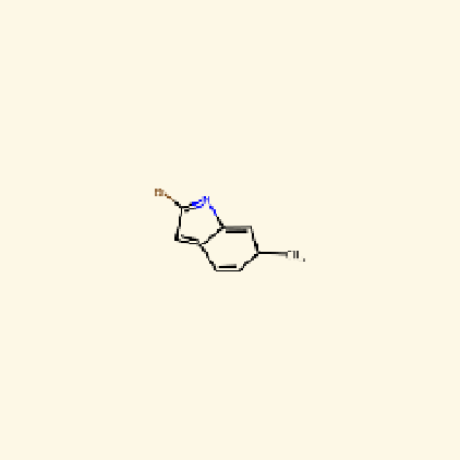 CC1C=CC2=CC(Br)=NC2=C1